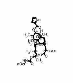 CCCCCCCCNC(=O)O[C@H](C)[C@H]1OC(=O)[C@@H](OC)C[C@H]2C=C[C@]3(C)[C@H]4[C@H](O)[C@@H](C)[C@@H](OC(=O)c5ccc[nH]5)[C@@H]3O[C@@]24/C(C)=C/[C@H]1C